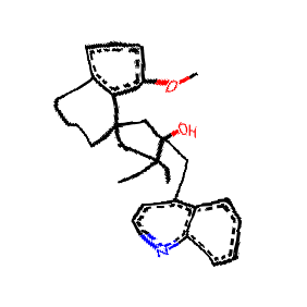 COc1cccc2c1C(C)(CC(O)(Cc1ccnc3ccccc13)C(C)(C)C)CCC2